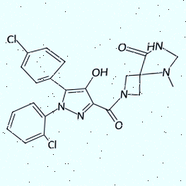 CN1CNC(=O)C12CN(C(=O)c1nn(-c3ccccc3Cl)c(-c3ccc(Cl)cc3)c1O)C2